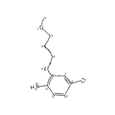 COCCCOc1cc(Cl)ccc1N